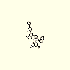 CC(C)C1CC(C2C=CC(c3ccccc3)=CN2C)C=C(C2=C=Cc3c2nc(C2CC(C(C)(C)C)=CC(C(C)(C)C)=C2O)n3C2=C3C=CC=CC3CCC2)C1C